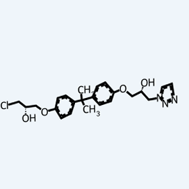 CC(C)(c1ccc(OC[C@H](O)CCl)cc1)c1ccc(OC[C@H](O)Cn2ccnn2)cc1